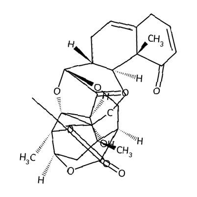 C[C@]12C(=O)C=CCC1=CC[C@@H]1[C@@H]2CC[C@@]2(O)C(=O)O[C@@]3(C)[C@H]4C[C@@]5(C)[C@@H](CO[C@@]16O[C@]23[C@H]5C6=O)C(=O)O4